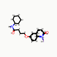 CN(C(=O)CCCOc1ccc2c(ccc(=O)n2I)c1)C1CCCCC1